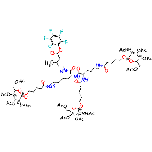 CC(=O)N[C@H]1C(OC(C)=O)[C@@H](OC(C)=O)C(COC(C)=O)O[C@H]1OCCCCC(=O)NCCCCC(NC(=O)CCCCO[C@@H]1OC(COC(C)=O)[C@H](OC(C)=O)C(OC(C)=O)[C@@H]1NC(C)=O)C(=O)NC(CCCCNC(=O)CCCCO[C@@H]1OC(COC(C)=O)[C@H](OC(C)=O)C(OC(C)=O)[C@@H]1NC(C)=O)C(=O)NCCC(C)CC(=O)Oc1c(F)c(F)c(F)c(F)c1F